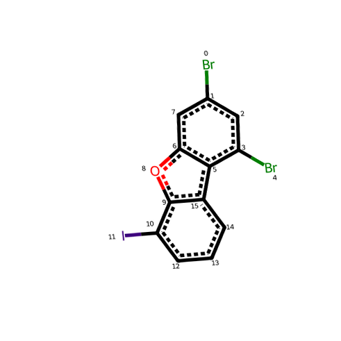 Brc1cc(Br)c2c(c1)oc1c(I)cccc12